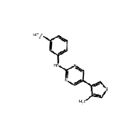 Cc1cscc1-c1cnc(Nc2cccc(C(=O)O)c2)nc1